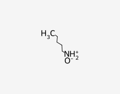 CCCCC[NH2+][O-]